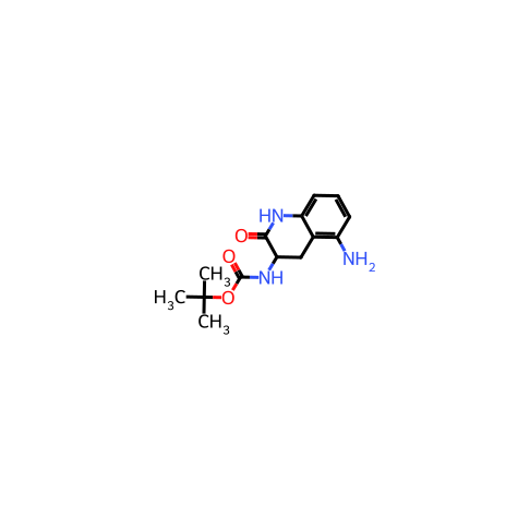 CC(C)(C)OC(=O)NC1Cc2c(N)cccc2NC1=O